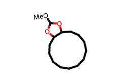 COC1OC2CCCCCCCCCCCC2O1